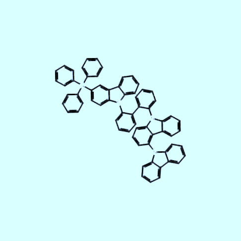 c1ccc([Si](c2ccccc2)(c2ccccc2)c2ccc3c(c2)c2ccccc2n3-c2ccccc2-c2ccccc2-n2c3ccccc3c3c(-n4c5ccccc5c5ccccc54)cccc32)cc1